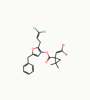 CC1(C)CC1(C=C(Br)Br)C(=O)Oc1cc(Cc2ccccc2)oc1CC=C(Cl)Cl